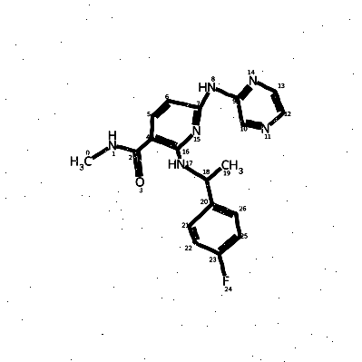 CNC(=O)c1ccc(Nc2cnccn2)nc1NC(C)c1ccc(F)cc1